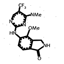 CNc1nc(Nc2ccc3c(c2OC)CNC3=O)ncc1C(F)(F)F